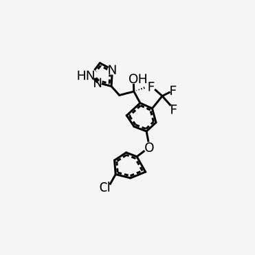 C[C@@](O)(Cc1nc[nH]n1)c1ccc(Oc2ccc(Cl)cc2)cc1C(F)(F)F